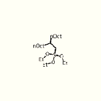 CCCCCCCCC(CCCCCCCC)CS(OCC)(OCC)OCC